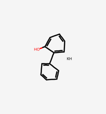 Oc1ccccc1-c1ccccc1.[KH]